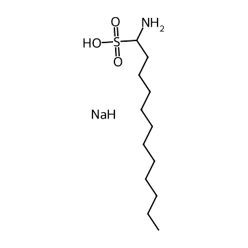 CCCCCCCCCCCC(N)S(=O)(=O)O.[NaH]